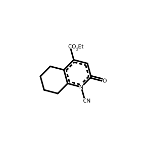 CCOC(=O)c1cc(=O)n(C#N)c2c1CCCC2